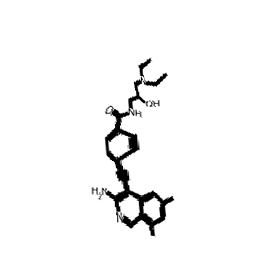 CCN(CC)CC(O)CNC(=O)c1ccc(C#Cc2c(N)ncc3c(C)cc(C)cc23)cc1